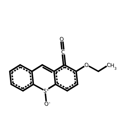 CCOc1ccc2c(c1=C=O)=Cc1ccccc1[S+]2[O-]